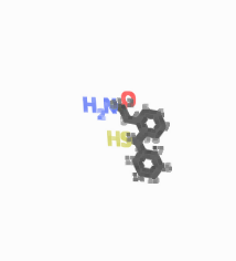 NC(=O)Cc1ccccc1C(S)c1ccccc1